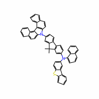 CC1(C)c2cc(N(c3ccc4sc5ccccc5c4c3)c3cccc4ccccc34)ccc2-c2ccc(-n3c4ccc5ccccc5c4c4c5ccccc5ccc43)cc21